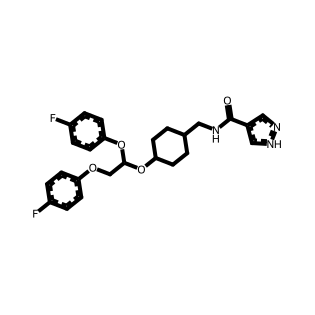 O=C(NCC1CCC(OC(COc2ccc(F)cc2)Oc2ccc(F)cc2)CC1)c1cn[nH]c1